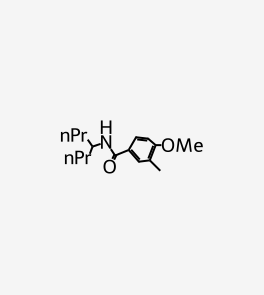 CCCC(CCC)NC(=O)c1ccc(OC)c(C)c1